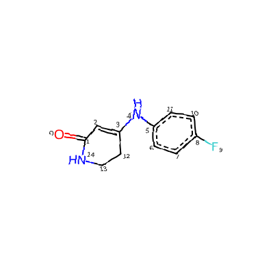 O=C1C=C(Nc2ccc(F)cc2)CCN1